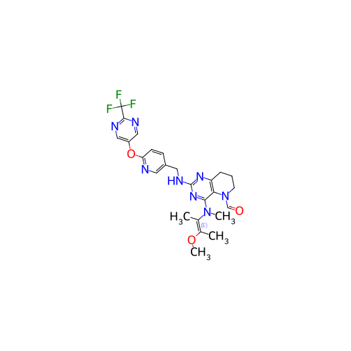 CO/C(C)=C(\C)N(C)c1nc(NCc2ccc(Oc3cnc(C(F)(F)F)nc3)nc2)nc2c1N(C=O)CCC2